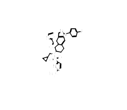 Cn1ccc(S(=O)(=O)N(CC2CC2)[C@H]2CCC3=Cc4c(cnn4-c4ccc(F)cc4)C[C@]3(C(=O)c3nccs3)C2)n1